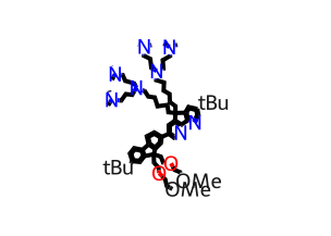 COCCOCCC1(CCOCCOC)c2cc(-c3cnc4c(c3)C(CCCCCCN(CCCN(C)C)CCCN(C)C)(CCCCCCN(CCCN(C)C)CCCN(C)C)c3cc(C(C)(C)C)cnc3-4)ccc2-c2ccc(C(C)(C)C)cc21